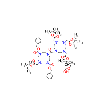 CC(C)(C)OC(=O)CN1CCN(CC(=O)OC(C)(C)C)CCN(CC(=O)N2CCN(C(=O)OCc3ccccc3)CCN(CC(=O)OC(C)(C)C)CCN(C(=O)OCc3ccccc3)CC2)CCN(CC(=O)OC(C)(C)C)CC1.O=CO